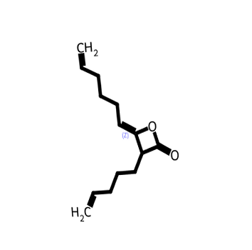 C=CCCC/C=C1\OC(=O)C1CCCC=C